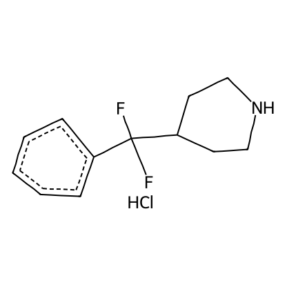 Cl.FC(F)(c1ccccc1)C1CCNCC1